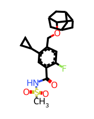 CS(=O)(=O)NC(=O)c1cc(C2CC2)c(COC2C3CC4CC(C3)C2C4)cc1F